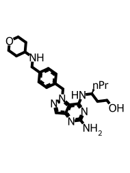 CCC[C@@H](CCO)Nc1nc(N)nc2cnn(Cc3ccc(CNC4CCOCC4)cc3)c12